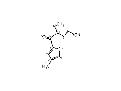 CCN(CCO)C(=O)c1cc(C)cs1